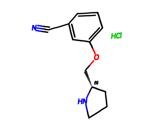 Cl.N#Cc1cccc(OC[C@@H]2CCCN2)c1